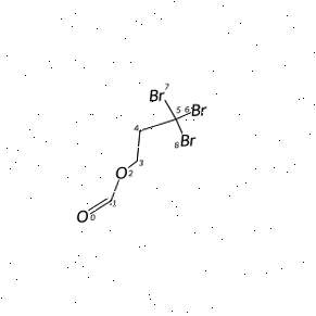 O=[C]OCCC(Br)(Br)Br